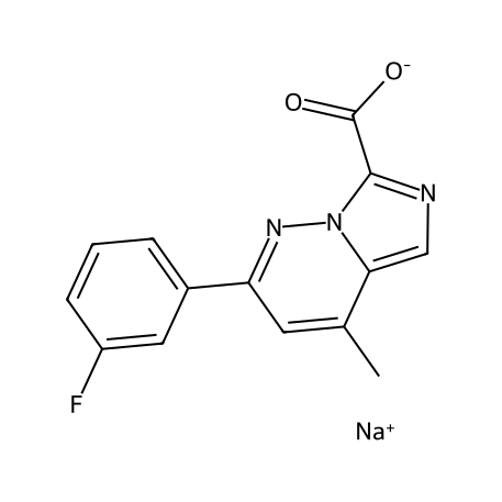 Cc1cc(-c2cccc(F)c2)nn2c(C(=O)[O-])ncc12.[Na+]